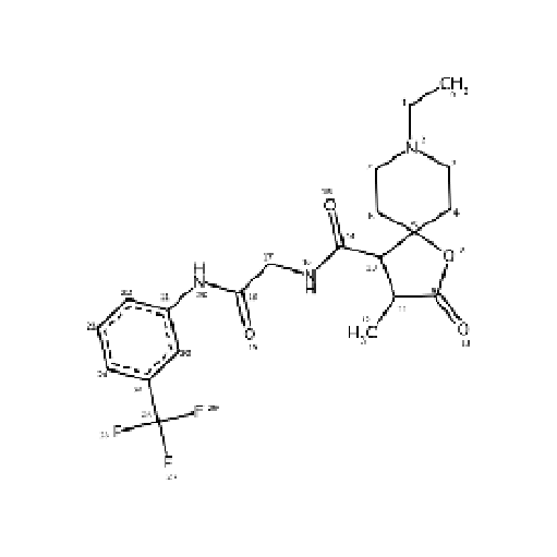 CCN1CCC2(CC1)OC(=O)C(C)C2C(=O)NCC(=O)Nc1cccc(C(F)(F)F)c1